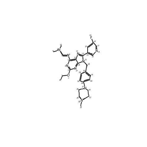 CCOc1nc(N=CN(C)C)c2nc(-c3cncc(F)c3)n(Cc3ccc(N4CCN(C)CC4)cc3)c2n1